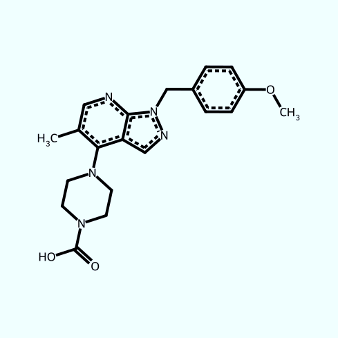 COc1ccc(Cn2ncc3c(N4CCN(C(=O)O)CC4)c(C)cnc32)cc1